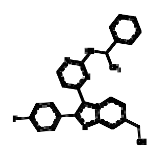 CC(Nc1nccc(-c2c(-c3ccc(F)cc3)nc3cc(CO)ccn23)n1)c1ccccc1